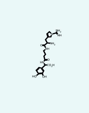 N=C(N)N1CC=C(CC(N)C(=O)NCCCC(=O)NC(C(=O)O)c2ccc(O)c(O)c2)C1